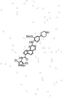 CCc1n[nH]c(CC)c1NC(=O)c1ccn2c1ccc1cnc(Nc3ccc(N4CCNCC4)cc3OC)nc12